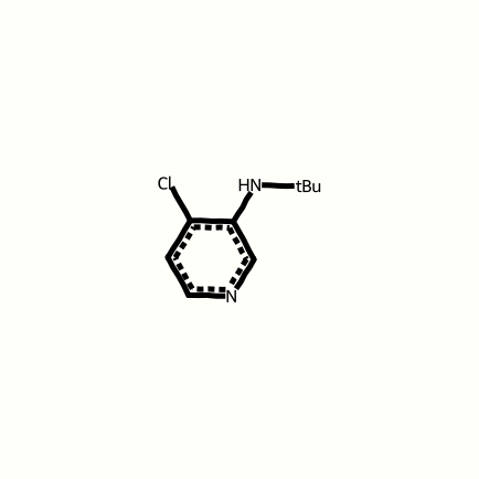 CC(C)(C)Nc1cnccc1Cl